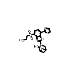 O=C(O)N1C2CC1CN(c1nc3c(S(=O)(=O)CCO)ccc(-c4nccs4)c3o1)C2